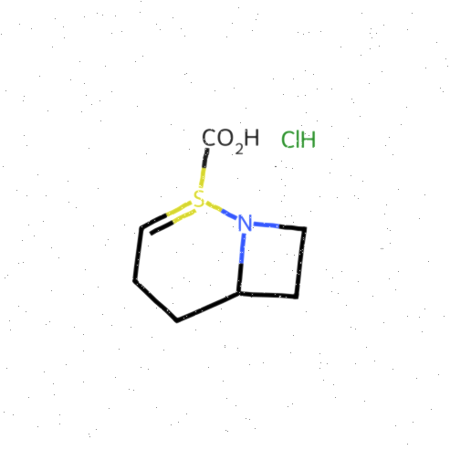 Cl.O=C(O)S1=CCCC2CCN21